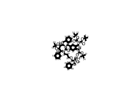 CC(C)(C)OC(=O)N(C(=O)OC(C)(C)C)c1nn(C(=O)OC(C)(C)C)c2ccc(CN3C(=O)N(CCCOCP(=O)(O)Oc4ccccc4)C(c4ccccc4)[C@@H]4OC(C)(C)O[C@H]4[C@H]3Cc3ccccc3)cc12